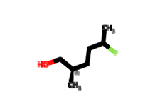 CC(F)CC[C@@H](C)CO